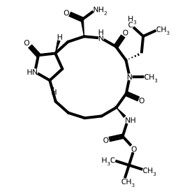 CC(C)C[C@H]1C(=O)N[C@H](C(N)=O)C[C@@H]2C[C@@H](CCCC[C@H](NC(=O)OC(C)(C)C)C(=O)N1C)NC2=O